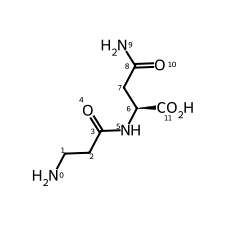 NCCC(=O)N[C@@H](CC(N)=O)C(=O)O